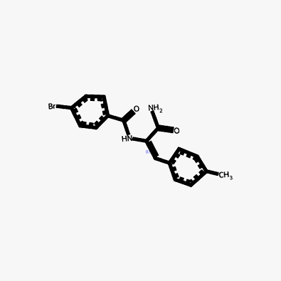 Cc1ccc(/C=C(/NC(=O)c2ccc(Br)cc2)C(N)=O)cc1